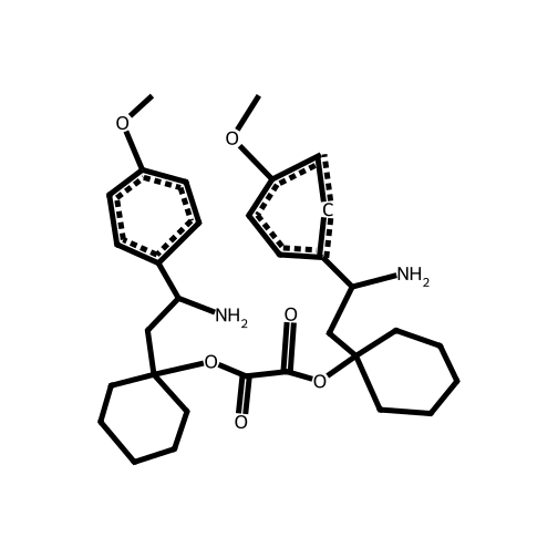 COc1ccc(C(N)CC2(OC(=O)C(=O)OC3(CC(N)c4ccc(OC)cc4)CCCCC3)CCCCC2)cc1